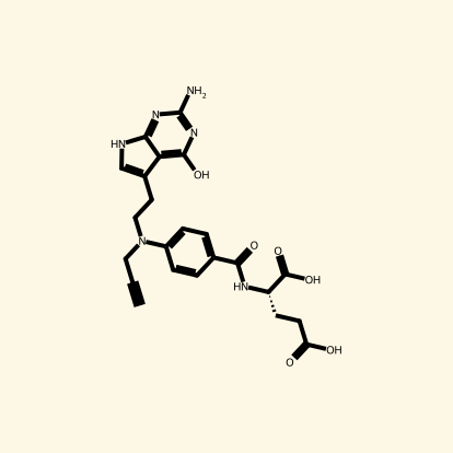 C#CCN(CCc1c[nH]c2nc(N)nc(O)c12)c1ccc(C(=O)N[C@@H](CCC(=O)O)C(=O)O)cc1